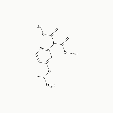 CCOC(=O)C(C)Oc1ccnc(N(C(=O)OC(C)(C)C)C(=O)OC(C)(C)C)c1